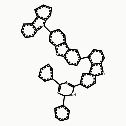 c1ccc(C2=NC(c3ccccc3)NC(c3ccc4oc5cccc(-c6ccc7sc8cc(-n9c%10ccccc%10c%10ccccc%109)ccc8c7c6)c5c4c3)=N2)cc1